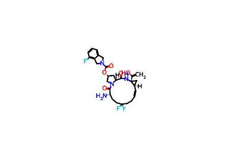 C=C(O)[C@@]12C[C@H]1/C=C\CCC(F)(F)CC[C@H](N)C(=O)N1C[C@H](OC(=O)N3Cc4cccc(F)c4C3)C[C@H]1C(=O)N2